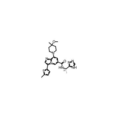 COC1(C)CCN(c2cc(C(=O)N[C@@H](C)c3nnc[nH]3)cn3c(-c4ccc(C)s4)cnc23)CC1